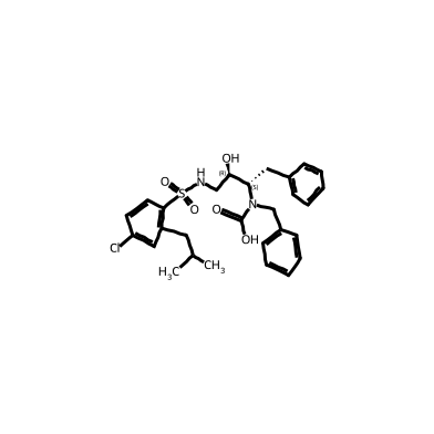 CC(C)Cc1cc(Cl)ccc1S(=O)(=O)NC[C@@H](O)[C@H](Cc1ccccc1)N(Cc1ccccc1)C(=O)O